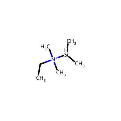 CC[N+](C)(C)[SiH](C)C